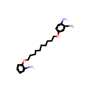 Cc1cc(OCCCCCCCCCCOc2ccccc2N)ccc1N